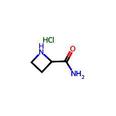 Cl.NC(=O)C1CCN1